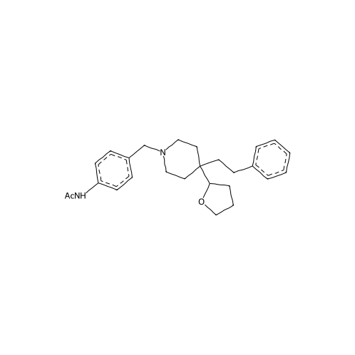 CC(=O)Nc1ccc(CN2CCC(CCc3ccccc3)(C3CCCO3)CC2)cc1